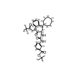 CC(C)(C)OC(=O)c1cccc(NC(=O)NC2CN(C3CCCCCCC3)c3ccccc3N(CC(=O)C(C)(C)C)C2=O)c1